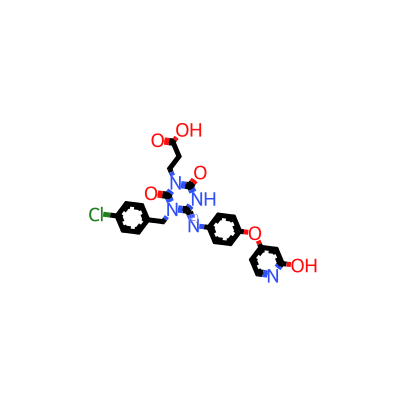 O=C(O)CCn1c(=O)[nH]/c(=N\c2ccc(Oc3ccnc(O)c3)cc2)n(Cc2ccc(Cl)cc2)c1=O